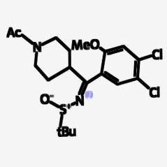 COc1cc(Cl)c(Cl)cc1/C(=N/[S+]([O-])C(C)(C)C)C1CCN(C(C)=O)CC1